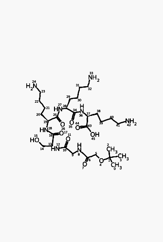 CC(C)(C)OCC(=O)NCC(=O)N[C@@H](CO)C(=O)N[C@@H](CCCCN)C(=O)N[C@@H](CCCCN)C(=O)N[C@@H](CCCCN)C(=O)O